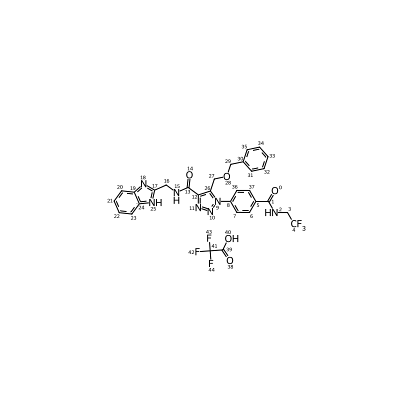 O=C(NCC(F)(F)F)c1ccc(-n2nnc(C(=O)NCc3nc4ccccc4[nH]3)c2COCc2ccccc2)cc1.O=C(O)C(F)(F)F